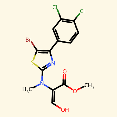 COC(=O)/C(=C\O)N(C)c1nc(-c2ccc(Cl)c(Cl)c2)c(Br)s1